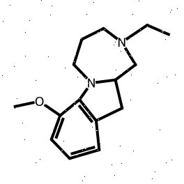 CCN1CCCN2c3c(cccc3OC)CC2C1